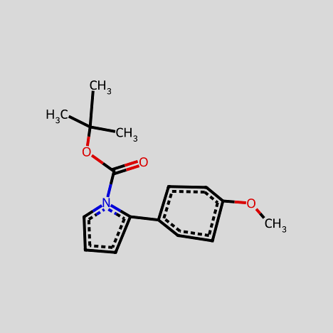 COc1ccc(-c2cccn2C(=O)OC(C)(C)C)cc1